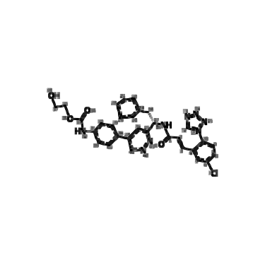 O=C(C=Cc1cc(Cl)ccc1-n1cnnn1)N[C@@H](Cc1ccccc1)c1cc(-c2ccc(NC(=O)OCCO)cc2)cnn1